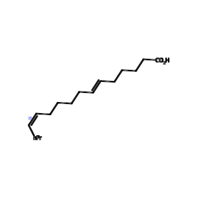 CCC/C=C\CCCCC=CCCCCC(=O)O